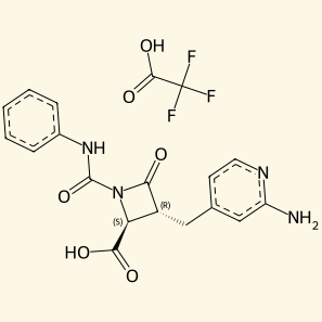 Nc1cc(C[C@H]2C(=O)N(C(=O)Nc3ccccc3)[C@@H]2C(=O)O)ccn1.O=C(O)C(F)(F)F